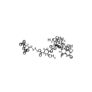 Cc1cc(C(=O)OCCCCC(CO[N+](=O)[O-])O[N+](=O)[O-])ccc1OC(=O)OCC(=O)[C@@]12OC(C)(C)O[C@@H]1CC1C3C[C@H](F)C4=CC(=O)C=C[C@]4(C)[C@@]3(F)[C@@H](O)C[C@@]12C